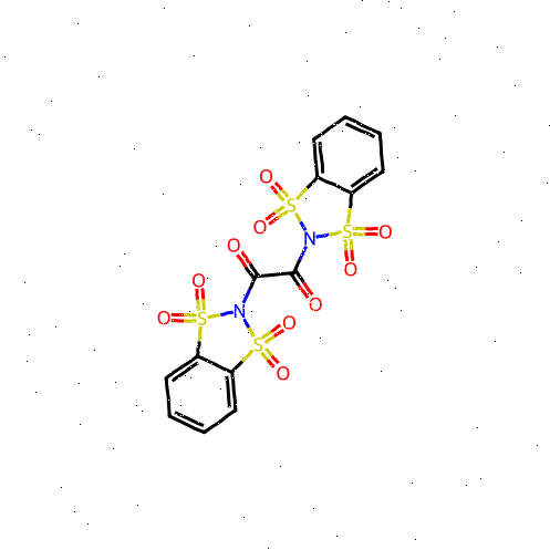 O=C(C(=O)N1S(=O)(=O)c2ccccc2S1(=O)=O)N1S(=O)(=O)c2ccccc2S1(=O)=O